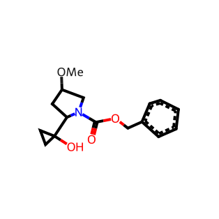 COC1CC(C2(O)CC2)N(C(=O)OCc2ccccc2)C1